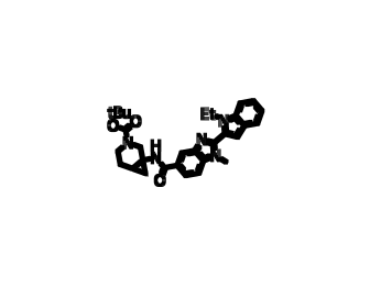 CCn1c(-c2nc3cc(C(=O)NC45CC4CCN(C(=O)OC(C)(C)C)C5)ccc3n2C)cc2ccccc21